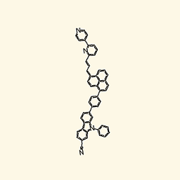 N#Cc1ccc2c3ccc(-c4ccc(-c5ccc6cccc7/c(=C\C=C\c8cccc(-c9ccncc9)n8)ccc5c67)cc4)cc3n(-c3ccccc3)c2c1